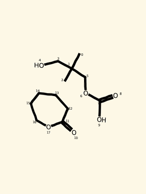 CC(C)(CO)COC(=O)O.O=C1CCCCCO1